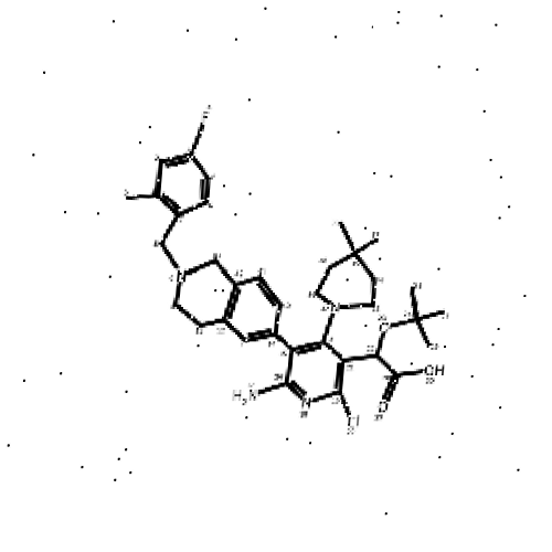 Cc1cc(F)ccc1CN1CCc2cc(-c3c(N)nc(Cl)c(C(OC(C)(C)C)C(=O)O)c3N3CCC(C)(C)CC3)ccc2C1